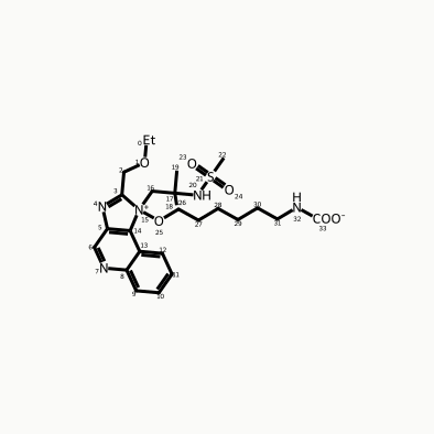 CCOCC1=Nc2cnc3ccccc3c2[N+]1(CC(C)(C)NS(C)(=O)=O)OCCCCCCNC(=O)[O-]